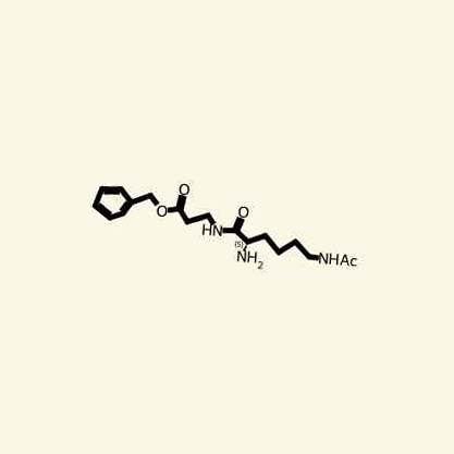 CC(=O)NCCCC[C@H](N)C(=O)NCCC(=O)OCc1ccccc1